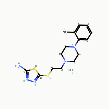 Cl.N#Cc1ccccc1N1CCN(CCSc2nnc(N)s2)CC1